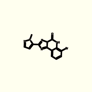 Cn1nccc1-c1nc2c3cccc(Br)c3[nH]c(=O)n2n1